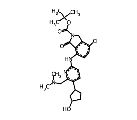 CN(C)Cc1nc(Nc2ccc(Cl)c3c2C(=O)N(C(=O)OC(C)(C)C)C3)ccc1C1CCC(O)C1